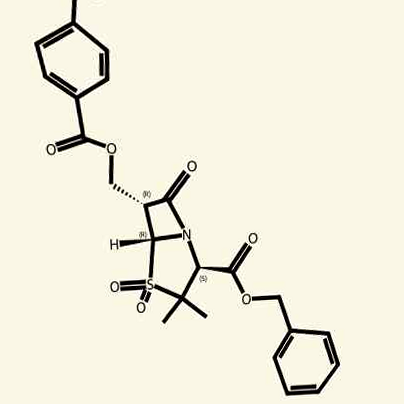 CC1(C)[C@H](C(=O)OCc2ccccc2)N2C(=O)[C@@H](COC(=O)c3ccc([N+](=O)[O-])cc3)[C@H]2S1(=O)=O